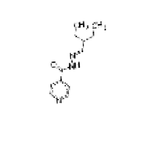 CCC(C=NNC(=O)c1ccncc1)CC